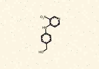 O=[N+]([O-])c1cnccc1Nc1ccc(CO)cc1